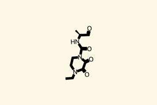 CCN1CCN(C(=O)N[C@@H](C)C=O)C(=O)C1=O